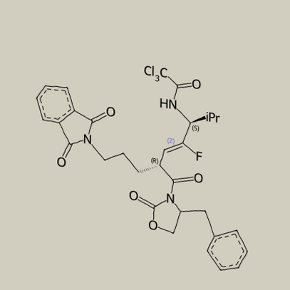 CC(C)[C@H](NC(=O)C(Cl)(Cl)Cl)/C(F)=C/[C@@H](CCCN1C(=O)c2ccccc2C1=O)C(=O)N1C(=O)OCC1Cc1ccccc1